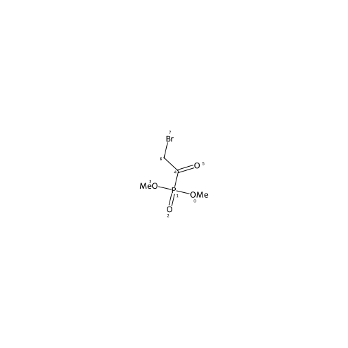 COP(=O)(OC)C(=O)CBr